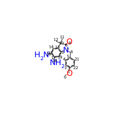 COc1ccc(CN2C(=O)C(C)(C)c3cc(N)c(N)cc32)cc1